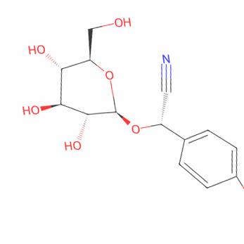 N#C[C@@H](O[C@@H]1O[C@H](CO)[C@@H](O)[C@H](O)[C@H]1O)c1ccc(O)cc1